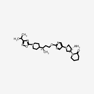 CC(C)c1noc(N2CCC([C@H](C)CCOc3ncc(N4C[C@H](N)[C@@H](N5CCCCC5=O)C4)cn3)CC2)n1